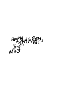 COC=C(c1cn(COCC[Si](C)(C)C)c2ncc(Br)cc12)C1CC1